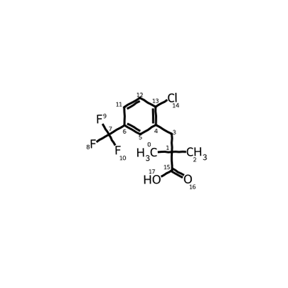 CC(C)(Cc1cc(C(F)(F)F)ccc1Cl)C(=O)O